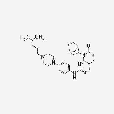 CN(C)CCCN1CCN(c2ccc(Nc3ncc4ccc(=O)n(C5CC6CCC5C6)c4n3)cc2)CC1